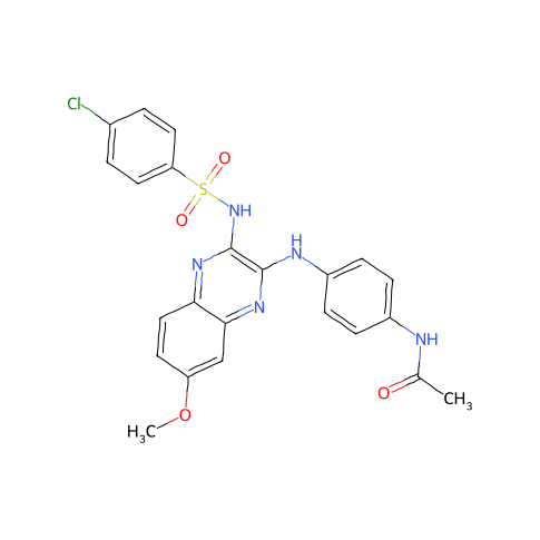 COc1ccc2nc(NS(=O)(=O)c3ccc(Cl)cc3)c(Nc3ccc(NC(C)=O)cc3)nc2c1